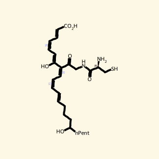 CCCCCC(O)CCCC=C/C=C\C=C(\C(=O)CNC(=O)[C@@H](N)CS)C(O)=C/C=C\C=CC(=O)O